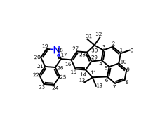 Cc1cc2c3c4c(cccc14)C(C)(C)c1cc(-c4nccc5ccccc45)cc(c1-3)C2(C)C